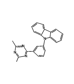 Cc1nc(C)nc(-c2cccc(-n3c4ccccc4c4ccccc43)c2)n1